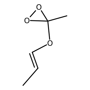 CC=COC1(C)OO1